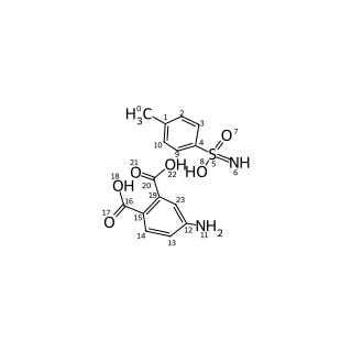 Cc1ccc(S(=N)(=O)O)cc1.Nc1ccc(C(=O)O)c(C(=O)O)c1